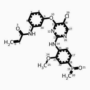 C=CC(=O)Nc1cccc(Oc2nc(Nc3ccc(P(=C)=O)cc3OC)ncc2Cl)c1